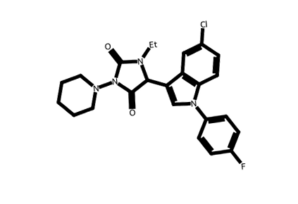 CCN1C(=O)N(N2CCCCC2)C(=O)C1c1cn(-c2ccc(F)cc2)c2ccc(Cl)cc12